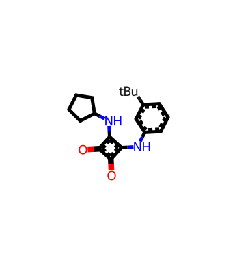 CC(C)(C)c1cccc(Nc2c(NC3CCCC3)c(=O)c2=O)c1